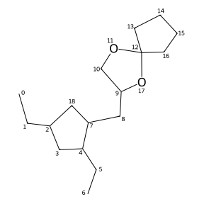 CCC1CC(CC)C(CC2COC3(CCCC3)O2)C1